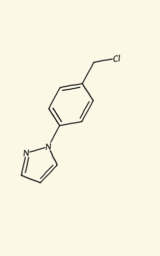 ClCc1ccc(-n2cccn2)cc1